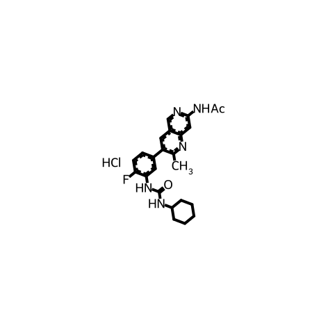 CC(=O)Nc1cc2nc(C)c(-c3ccc(F)c(NC(=O)NC4CCCCC4)c3)cc2cn1.Cl